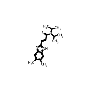 Cc1cc2nc(C=CC(=O)N(C(C)C)C(C)C)[nH]c2cc1C